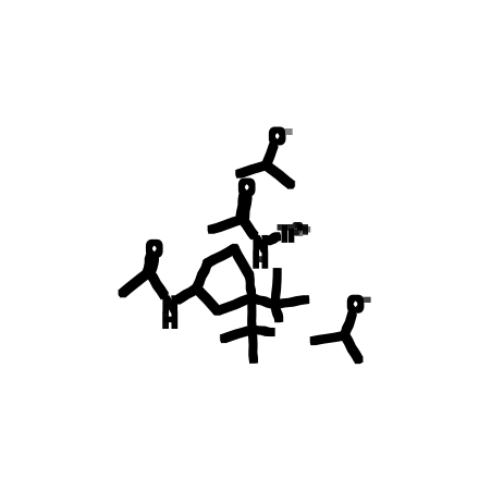 CC(=O)NC1CCCC(C(C)(C)C)(C(C)(C)C)C1.CC(=O)[NH][Ti+2].CC(C)[O-].CC(C)[O-]